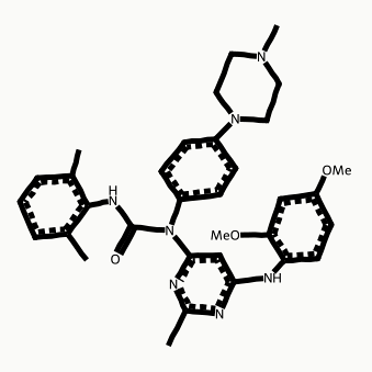 COc1ccc(Nc2cc(N(C(=O)Nc3c(C)cccc3C)c3ccc(N4CCN(C)CC4)cc3)nc(C)n2)c(OC)c1